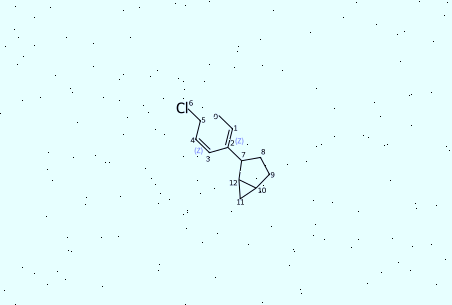 C/C=C(\C=C/CCl)C1CCC2CC21